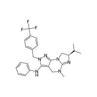 CC(C)[C@@H]1CN2C(=N1)N(C)Cc1c2nn(Cc2ccc(C(F)(F)F)cc2)c1Nc1ccccc1